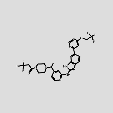 CC(c1ccnc(Nc2nc3ccc(-c4cc(OCC(F)(F)F)ncn4)cc3[nH]2)c1)N1CCN(C(=O)CC(F)(F)F)CC1